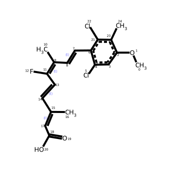 COc1cc(Cl)c(/C=C/C(C)=C(F)\C=C\C(C)=C\C(=O)O)c(Cl)c1C